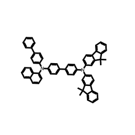 CC1(C)c2ccccc2-c2ccc(N(c3ccc(-c4ccc(N(c5ccc(-c6ccccc6)cc5)c5cccc6ccccc56)cc4)cc3)c3ccc4c(c3)C(C)(C)c3ccccc3-4)cc21